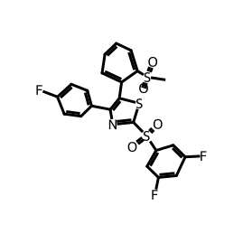 CS(=O)(=O)c1ccccc1-c1sc(S(=O)(=O)c2cc(F)cc(F)c2)nc1-c1ccc(F)cc1